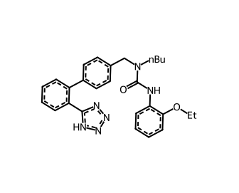 CCCCN(Cc1ccc(-c2ccccc2-c2nnn[nH]2)cc1)C(=O)Nc1ccccc1OCC